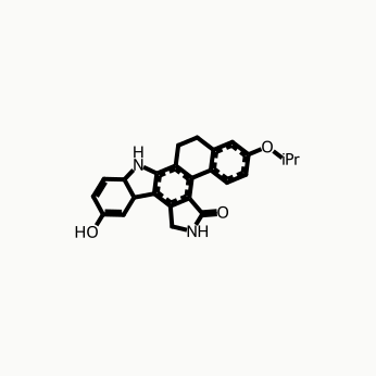 CC(C)Oc1ccc2c(c1)CCc1c3c(c4c(c1-2)C(=O)NC4)C1C=C(O)C=CC1N3